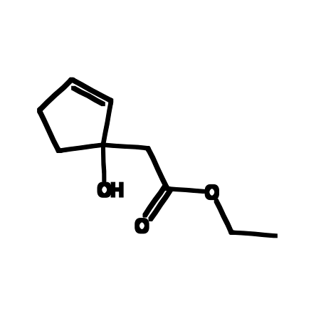 CCOC(=O)CC1(O)C=CCC1